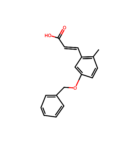 Cc1ccc(OCc2ccccc2)cc1C=CC(=O)O